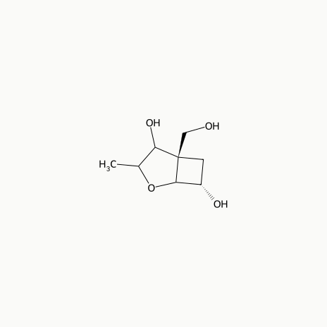 CC1OC2[C@@H](O)C[C@@]2(CO)C1O